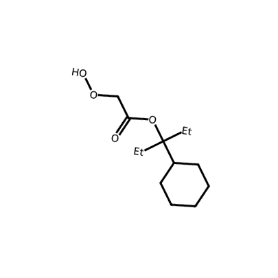 CCC(CC)(OC(=O)COO)C1CCCCC1